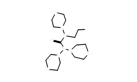 CCCN(C(=N)N(N1CCNCC1)N1CCNCC1)N1CCNCC1